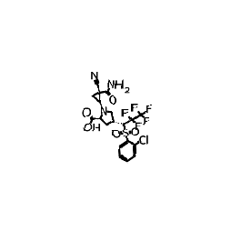 N#CC1(C(N)=O)CC1N1C[C@H](C(C(F)(F)C(F)(F)F)S(=O)(=O)c2ccccc2Cl)C[C@H]1C(=O)O